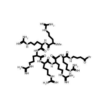 CNC(CCCNC(=N)N)C(=O)NC(CCCNC(=N)N)C(=O)NC(CCCNC(=N)N)C(=O)NC(CCCNC(=N)N)C(=O)NC(CCCNC(=N)N)C(=O)NC(CCCNC(=N)N)C(=O)NCCCC(=O)C(C)C